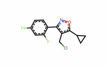 Fc1ccc(-c2noc(C3CC3)c2CCl)c(F)c1